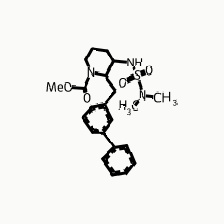 COC(=O)N1CCCC(NS(=O)(=O)N(C)C)C1Cc1cccc(-c2ccccc2)c1